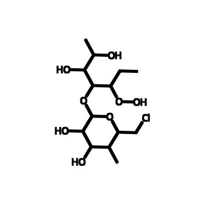 CCC(OO)C(OC1OC(CCl)C(C)C(O)C1O)C(O)C(C)O